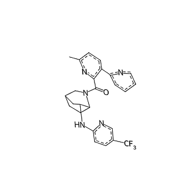 Cc1ccc(-c2ccccn2)c(C(=O)N2CC3CCC2C(Nc2ccc(C(F)(F)F)cn2)C3)n1